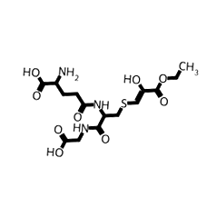 CCOC(=O)C(O)=CSCC(NC(=O)CCC(N)C(=O)O)C(=O)NCC(=O)O